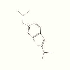 CC(C)Cc1ccc2cc(C(C)C)sc2c1